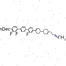 C/C=C/CCC1CCC(C2CC=C(c3ccc(-c4ccc(-c5ccc(CCCCCCCCCC)c(F)c5F)cc4)c(F)c3)CC2)CC1